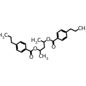 CCCc1ccc(C(=O)OC(C)CC(C)OC(=O)c2ccc(CCC)cc2)cc1